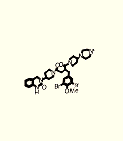 COc1c(Br)cc(CC(CC(=O)N2CCC(N3Cc4ccccc4NC3=O)CC2)C(=O)N2CCC(N3CCN(C)CC3)CC2)cc1Br